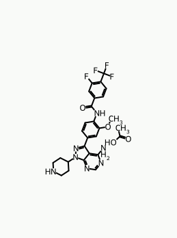 CC(=O)O.COc1cc(-c2nn(C3CCNCC3)c3ncnc(N)c23)ccc1NC(=O)c1ccc(C(F)(F)F)c(F)c1